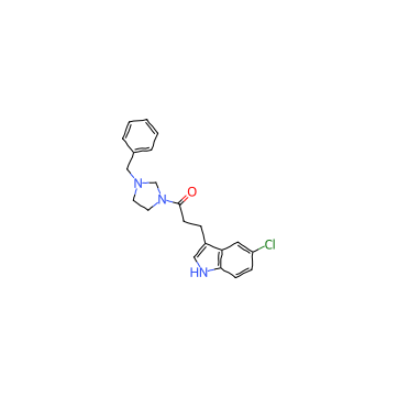 O=C(CCc1c[nH]c2ccc(Cl)cc12)N1CCN(Cc2ccccc2)C1